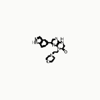 O=C1CNc2ncc(-c3ccc4[nH]ncc4c3)nc2N1CCN1CCOCC1